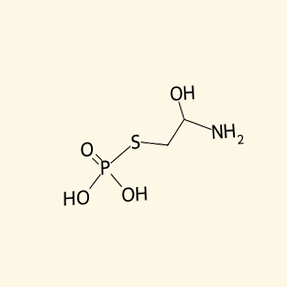 NC(O)CSP(=O)(O)O